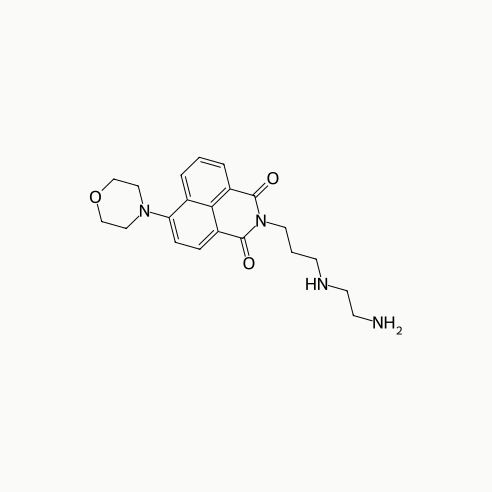 NCCNCCCN1C(=O)c2cccc3c(N4CCOCC4)ccc(c23)C1=O